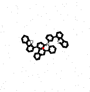 c1cc(-c2cccc3c2sc2ccccc23)cc(N(c2ccc(-c3cccc4c3oc3ccccc34)cc2)c2ccccc2-c2ccc3ccccc3c2)c1